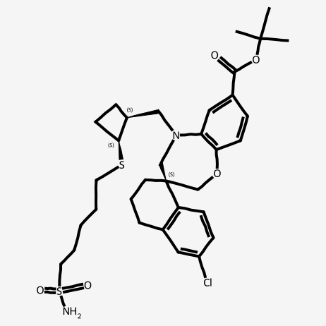 CC(C)(C)OC(=O)c1ccc2c(c1)N(C[C@@H]1CC[C@@H]1SCCCCCS(N)(=O)=O)C[C@@]1(CCCc3cc(Cl)ccc31)CO2